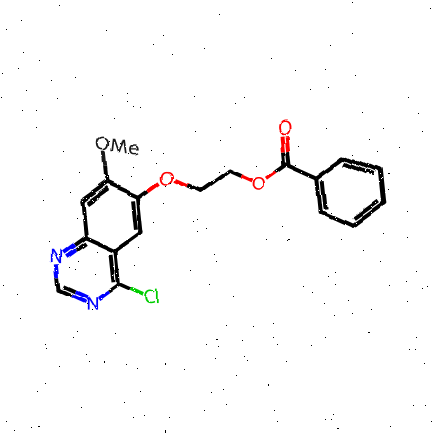 COc1cc2ncnc(Cl)c2cc1OCCOC(=O)c1ccccc1